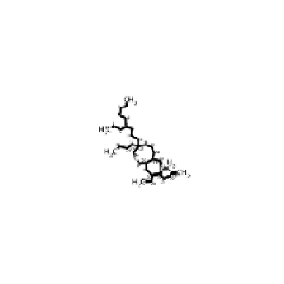 C=C/C=C\C=C(/CC=C)CCCC1(CCCC)CCCC2CC(C=C)=C(/C=C\C=C)N(C)CC2CCC1